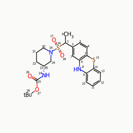 CC(c1ccc2c(c1)Nc1ccccc1S2)S(=O)(=O)N1CCC[C@@H](NC(=O)OC(C)(C)C)C1